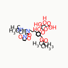 CC(C)(C)C(=O)OCc1ccc(CCCN(CCC[N+](C)(C)C)C(=O)CN2C(=O)C=CC2=O)cc1O[C@@H]1O[C@H](C(=O)O)[C@@H](O)[C@H](O)[C@H]1O